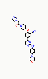 N#Cc1cc(-c2ccnc(Nc3ccc(N4CCOCC4)cc3)n2)ccc1OC1CCN(C(=O)Cn2ccnc2)CC1